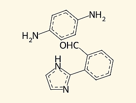 Nc1ccc(N)cc1.O=Cc1ccccc1-c1ncc[nH]1